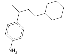 CC(CCC1CCCCC1)c1ccc(N)cc1